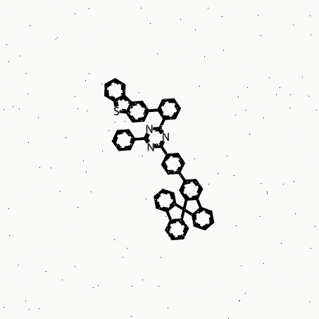 c1ccc(-c2nc(-c3ccc(-c4ccc5c(c4)C4(c6ccccc6-c6ccccc64)c4ccccc4-5)cc3)nc(-c3ccccc3-c3ccc4sc5ccccc5c4c3)n2)cc1